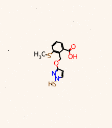 CSc1cccc(C(=O)O)c1COc1ccn(S)n1